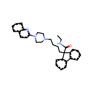 CCNC(=O)C1(CCCCN2CCN(c3ccc4ccccc4n3)CC2)c2ccccc2-c2ccccc21